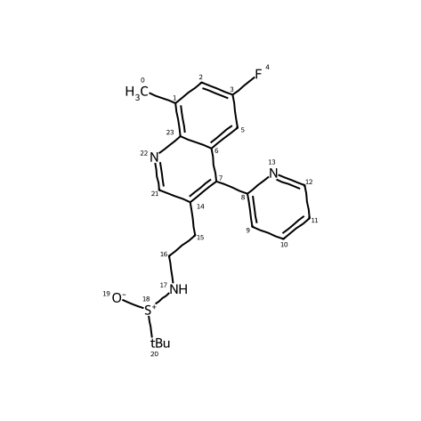 Cc1cc(F)cc2c(-c3ccccn3)c(CCN[S+]([O-])C(C)(C)C)cnc12